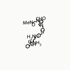 CNC(=O)CCN(C=O)c1cccc2c1ccn2CC1CCN(CC2CCN(/C(N)=C/C=C(\N)C(=O)NC3CCCCC3)CC2)CC1